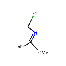 CCC/C(=N\CCl)OC